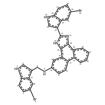 Brc1ccc2[nH]cc(CNc3ccc4c5ccccc5c5nc(-c6c[nH]c7ccc(Br)cc67)[nH]c5c4c3)c2c1